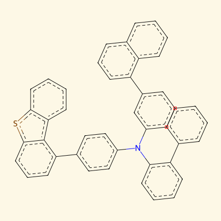 c1ccc(-c2ccccc2N(c2ccc(-c3cccc4sc5ccccc5c34)cc2)c2cccc(-c3cccc4ccccc34)c2)cc1